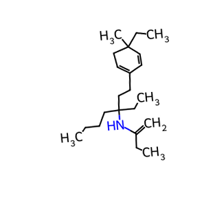 C=C(CC)NC(CC)(CCCC)CCC1=CCC(C)(CC)C=C1